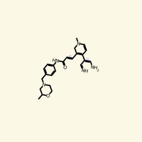 CC1CN(Cc2ccc(NC(=O)/C=C/C3=C(C(/C=N)=C/N)C=CN(C)C3)cc2)CCO1